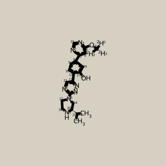 [2H]C([2H])([2H])Oc1cc(-c2ccc(-c3cnc(N4CCN[C@@H](C(C)C)C4)nn3)c(O)c2)ncn1